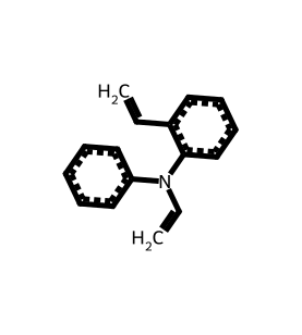 C=Cc1ccccc1N(C=C)c1ccccc1